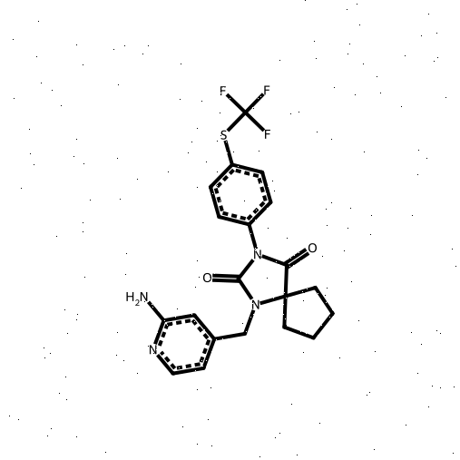 Nc1cc(CN2C(=O)N(c3ccc(SC(F)(F)F)cc3)C(=O)C23CCCC3)ccn1